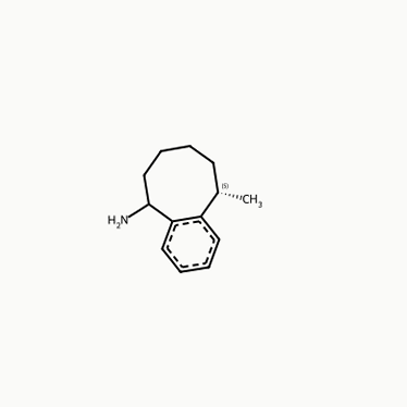 C[C@H]1CCCCC(N)c2ccccc21